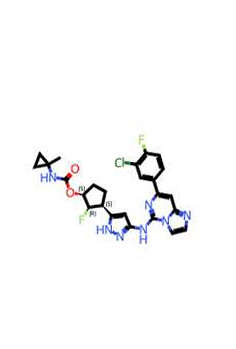 CC1(NC(=O)O[C@H]2CC[C@@H](c3cc(Nc4nc(-c5ccc(F)c(Cl)c5)cc5nccn45)n[nH]3)[C@H]2F)CC1